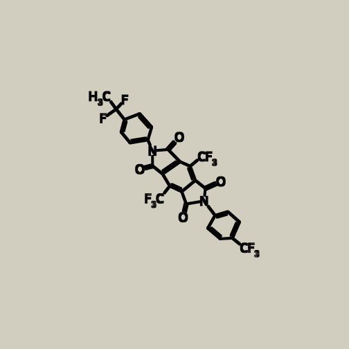 CC(F)(F)c1ccc(-n2c(=O)c3c(C(F)(F)F)c4c(=O)n(-c5ccc(C(F)(F)F)cc5)c(=O)c4c(C(F)(F)F)c3c2=O)cc1